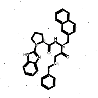 O=C(CNCc1ccccc1)[C@H](Cc1ccc2ccccc2c1)NC(=O)[C@@H]1CCCN1c1nc2ccccc2[nH]1